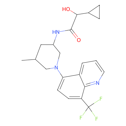 CC1CC(NC(=O)C(O)C2CC2)CN(c2ccc(C(F)(F)F)c3ncccc23)C1